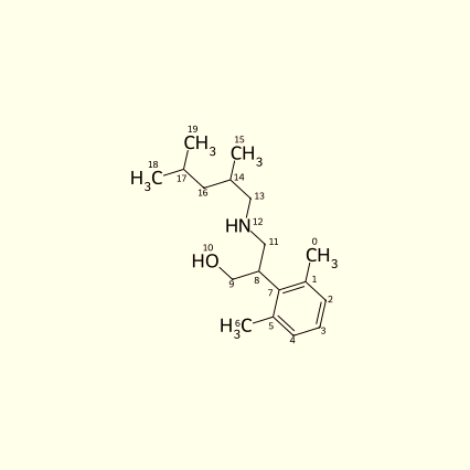 Cc1cccc(C)c1C(CO)CNCC(C)CC(C)C